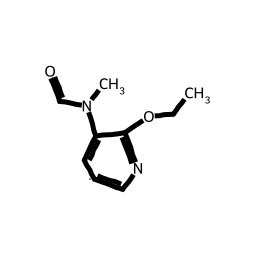 CCOc1nc[c]cc1N(C)C=O